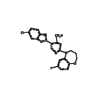 O=C(O)c1cc(N2CCCOc3ccc(F)cc32)ncc1-c1nc2ccc(Cl)cc2o1